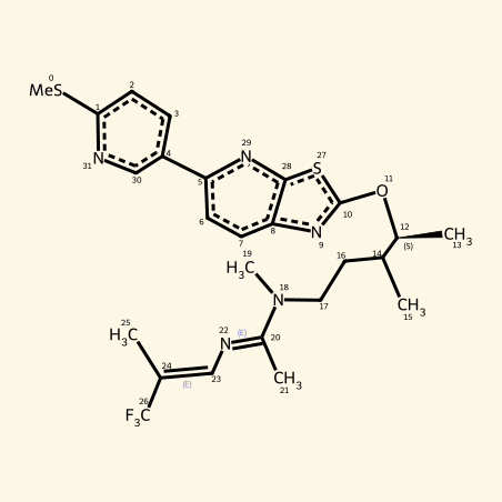 CSc1ccc(-c2ccc3nc(O[C@@H](C)C(C)CCN(C)/C(C)=N/C=C(\C)C(F)(F)F)sc3n2)cn1